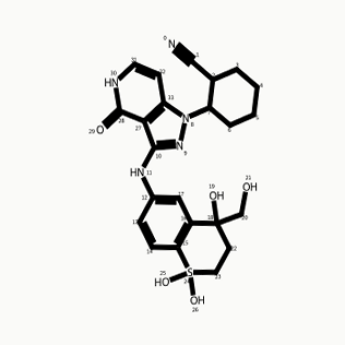 N#CC1CCCCC1n1nc(Nc2ccc3c(c2)C(O)(CO)CCS3(O)O)c2c(=O)[nH]ccc21